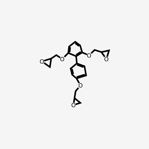 c1cc(OCC2CO2)c(-c2ccc(OCC3CO3)cc2)c(OCC2CO2)c1